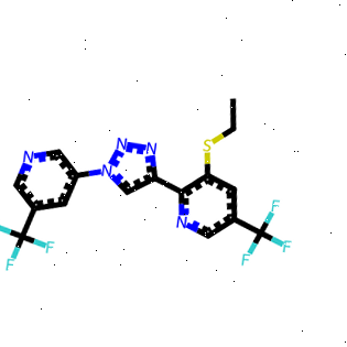 CCSc1cc(C(F)(F)F)cnc1-c1cn(-c2cncc(C(F)(F)F)c2)nn1